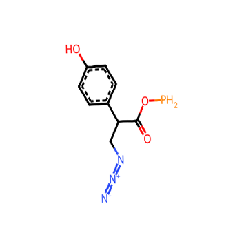 [N-]=[N+]=NCC(C(=O)OP)c1ccc(O)cc1